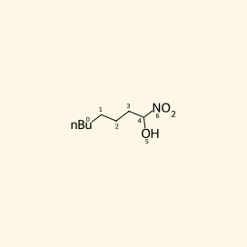 CCCCCCCC(O)[N+](=O)[O-]